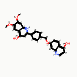 COc1cc2nc(-c3ccc(COc4ccc5c(O)ccnc5c4)cc3)cc(O)c2cc1OC